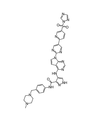 CN1CCN(Cc2ccc(NC(=O)c3n[nH]cc3Nc3ncnc4c3ccn4-c3ncc(-c4ccc(S(=O)(=O)n5cncn5)cn4)cn3)cc2)CC1